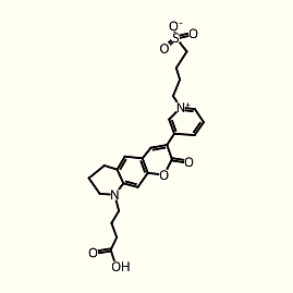 O=C(O)CCCN1CCCc2cc3cc(-c4ccc[n+](CCCCS(=O)(=O)[O-])c4)c(=O)oc3cc21